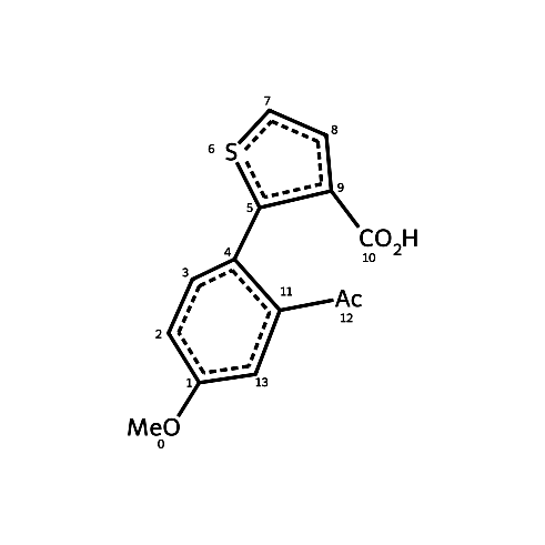 COc1ccc(-c2sccc2C(=O)O)c(C(C)=O)c1